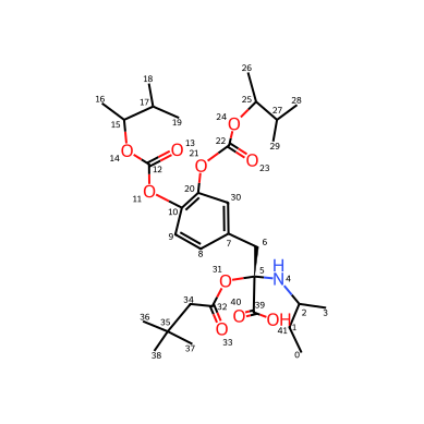 CCC(C)N[C@@](Cc1ccc(OC(=O)OC(C)C(C)C)c(OC(=O)OC(C)C(C)C)c1)(OC(=O)CC(C)(C)C)C(=O)O